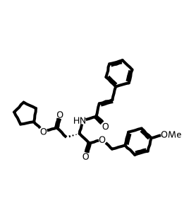 COc1ccc(COC(=O)[C@H](CC(=O)OC2CCCC2)NC(=O)/C=C/c2ccccc2)cc1